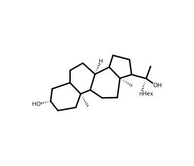 CCCCCC[C@](C)(O)C1CCC2[C@@H]3CCC4C[C@@H](O)CC[C@]4(C)C3CC[C@@]21C